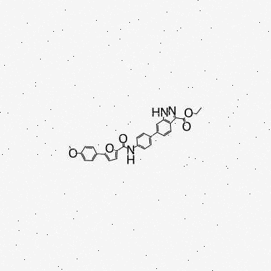 CCOC(=O)c1n[nH]c2cc(-c3ccc(NC(=O)c4ccc(-c5ccc(OC)cc5)o4)cc3)ccc12